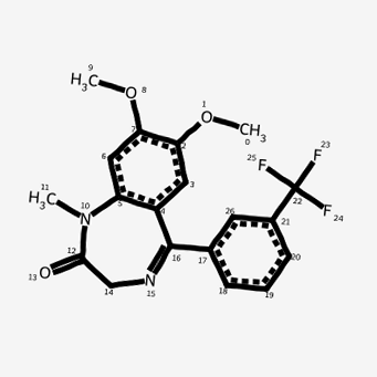 COc1cc2c(cc1OC)N(C)C(=O)CN=C2c1cccc(C(F)(F)F)c1